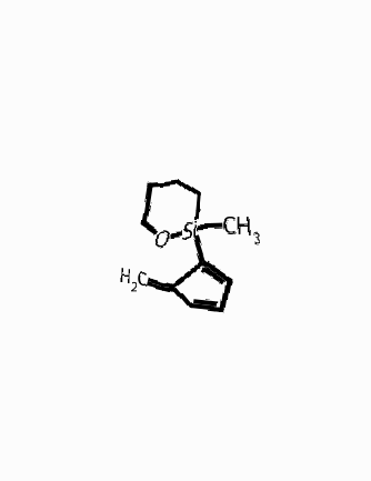 C=C1C=CC=C1[Si]1(C)CCCCO1